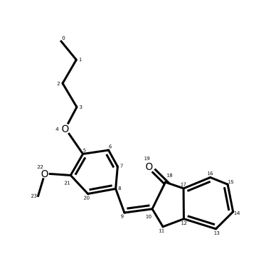 CCCCOc1ccc(C=C2Cc3ccccc3C2=O)cc1OC